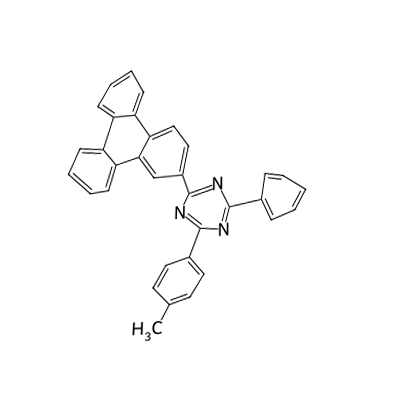 Cc1ccc(-c2nc(-c3ccccc3)nc(-c3ccc4c5ccccc5c5ccccc5c4c3)n2)cc1